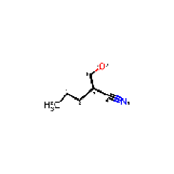 CCCC(C#N)C[O]